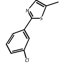 Cc1cnc(-c2[c]ccc(Cl)c2)s1